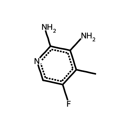 Cc1c(F)cnc(N)c1N